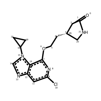 O=C1C[C@@H](CCOc2nc(Cl)cc3ncn(C4CC4)c23)CN1